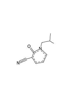 CC(C)Cn1cccc(C#N)c1=O